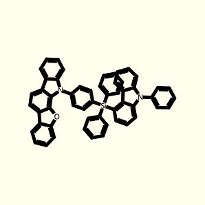 c1ccc(-n2c3ccccc3c3c([Si](c4ccccc4)(c4ccccc4)c4ccc(-n5c6ccccc6c6ccc7c8ccccc8oc7c65)cc4)cccc32)cc1